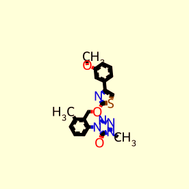 COc1cccc(-c2csc(OCc3c(C)cccc3-n3nnn(C)c3=O)n2)c1